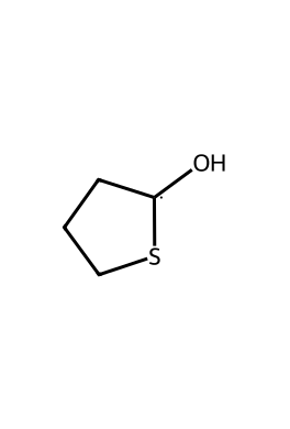 O[C]1CCCS1